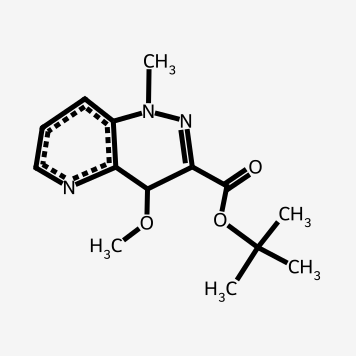 COC1C(C(=O)OC(C)(C)C)=NN(C)c2cccnc21